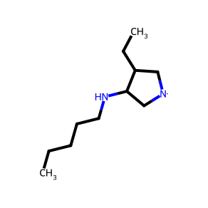 CCCCCNC1C[N]CC1CC